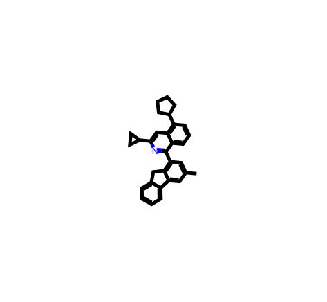 Cc1cc2c(c(-c3nc(C4CC4)cc4c(C5CCCC5)cccc34)c1)Cc1ccccc1-2